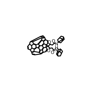 O=C(CC(=O)C1(C(=O)CC(=O)NC23CC4CC(CC(C4)C2)C3)C23C=Cc4c5c6c7c4c2c2c4c8c(c9ccc%10c%11c%12c%13c(c7c2c%13c8c9%11)=C2C6C(C=C5)C5C=CC%10C%12C25)C=CC413)NC12CC3CC(CC(C3)C1)C2